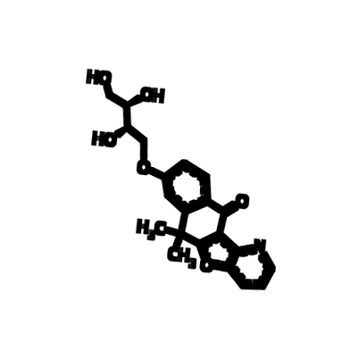 CC1(C)c2cc(OC[C@@H](O)[C@H](O)CO)ccc2C(=O)c2c1oc1cccnc21